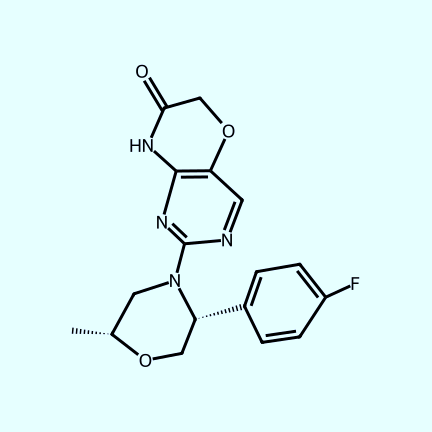 C[C@@H]1CN(c2ncc3c(n2)NC(=O)CO3)[C@H](c2ccc(F)cc2)CO1